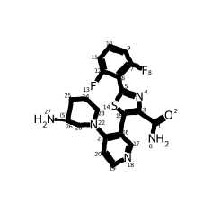 NC(=O)c1nc(-c2c(F)cccc2F)sc1-c1cnccc1N1CCC[C@H](N)C1